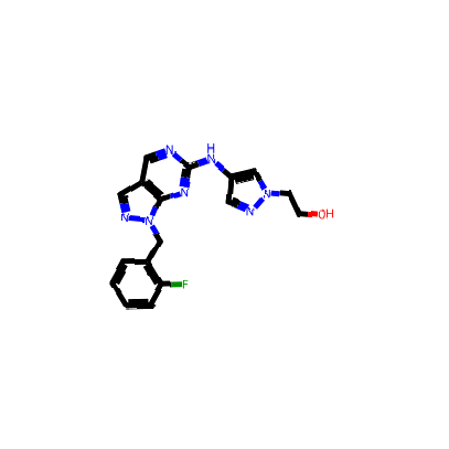 OCCn1cc(Nc2ncc3cnn(Cc4ccc[c]c4F)c3n2)cn1